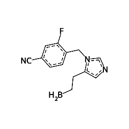 BCCc1cncn1Cc1ccc(C#N)cc1F